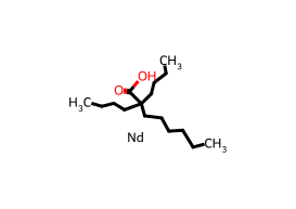 CCCCCCC(CCCC)(CCCC)C(=O)O.[Nd]